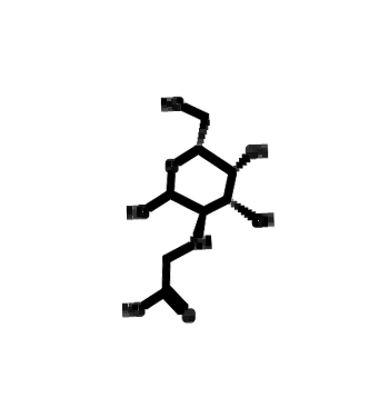 O=C(O)CN[C@H]1C(O)O[C@H](CO)[C@H](O)[C@@H]1O